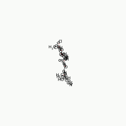 CC(C)[C@H](C(=O)N1C[C@H](O)C[C@H]1NC(=O)Cc1ccc2c(c1)OCc1ncsc1-2)c1cc(OCCCCC(=O)N2CCN(CC[C@H](CSc3ccccc3)Nc3ccc(S(=O)(=O)NC(=O)c4ccc5c(c4)OC[C@@H]4CN(CC6=C(c7ccc(Cl)cc7)CCC(C)(C)C6)CCN54)cc3S(=O)(=O)C(F)(F)F)CC2)no1